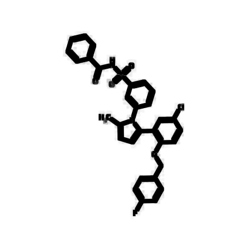 Cc1ccc(-c2cc(Cl)ccc2OCc2ccc(F)cc2)n1-c1cccc(S(=O)(=O)NC(=O)c2ccccc2)c1